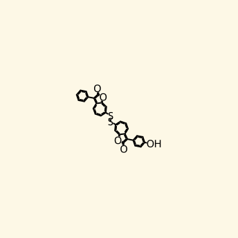 O=c1oc2cc(SSc3cccc4c(-c5ccc(O)cc5)c(=O)oc-4c3)cccc-2c1-c1ccccc1